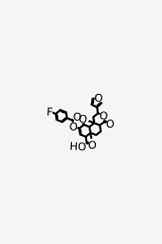 CC12CCC3C(=O)OC(c4ccoc4)CC3(C)C1C(=O)C(OC(=O)c1ccc(F)cc1)=CC2C(=O)O